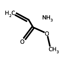 C=CC(=O)OC.N